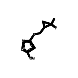 CC(C)(C)c1cc(OCC2CC2(C)F)no1